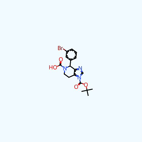 CC(C)(C)OC(=O)n1cnc2c1CCN(C(=O)O)C2c1cccc(Br)c1